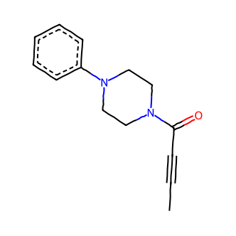 CC#CC(=O)N1CCN(c2ccccc2)CC1